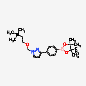 CC1(C)OB(c2ccc(-c3ccn(COCC[Si](C)(C)C)n3)cc2)OC1(C)C